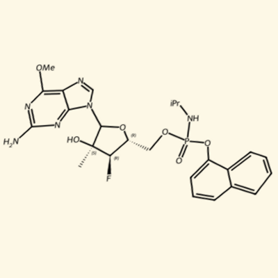 COc1nc(N)nc2c1ncn2C1O[C@H](COP(=O)(NC(C)C)Oc2cccc3ccccc23)[C@@H](F)[C@@]1(C)O